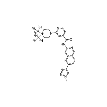 [2H]C([2H])([2H])[N+]1(C([2H])([2H])[2H])CCN(c2cc(C(=O)Nc3cc4nc(-c5cn(C)nn5)ccc4cn3)ccn2)CC1